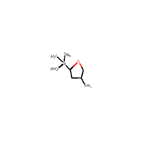 CO[Si](C)(OC)C1CC(C)CO1